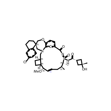 CO[C@H]1/C=C/C[C@H](C)[C@@H](C)S(=O)(NC(=O)[C@H]2C[C@@](C)(O)C2)=NC(=O)c2ccc3c(c2)N(C[C@@H]2CC[C@H]21)C[C@@]1(CCCc2cc(Cl)ccc21)CO3